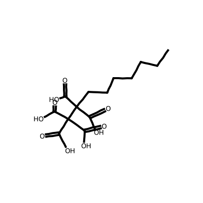 CCCCCCCC(C(=O)O)(C(=O)O)C(C(=O)O)(C(=O)O)C(=O)O